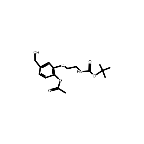 CC(=O)Oc1ccc(CO)cc1OCCNC(=O)OC(C)(C)C